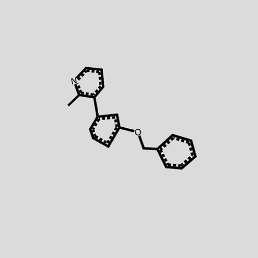 Cc1ncccc1-c1cccc(OCc2ccccc2)c1